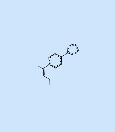 OC/C=C(/F)c1ccc(-c2ncco2)cc1